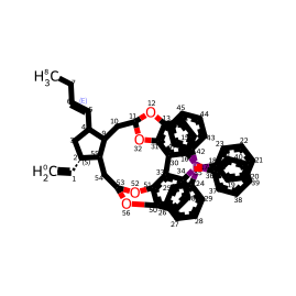 C=C[C@@H]1CC(/C=C/CC)C2CC3Oc4ccc(P(c5ccccc5)c5ccccc5)c(c4O3)-c3c(P(c4ccccc4)c4ccccc4)ccc4c3OC(CC21)O4